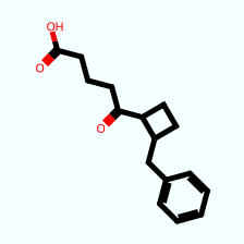 O=C(O)CCCC(=O)C1CCC1Cc1ccccc1